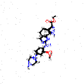 CCOC(=O)c1nn(C)c2c1CCc1cnc(Nc3ccc(N4CCN(C)CC4)cc3OC)nc1-2